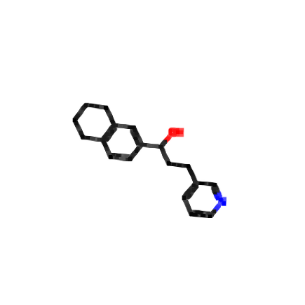 OC(CCc1cccnc1)c1ccc2c(c1)CCCC2